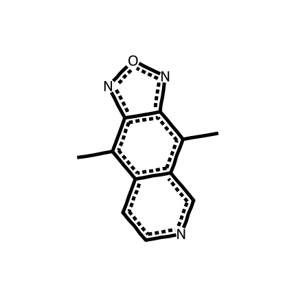 Cc1c2ccncc2c(C)c2nonc12